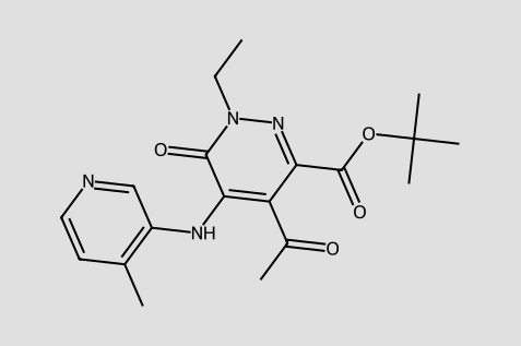 CCn1nc(C(=O)OC(C)(C)C)c(C(C)=O)c(Nc2cnccc2C)c1=O